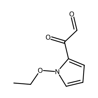 CCOn1cccc1C(=O)C=O